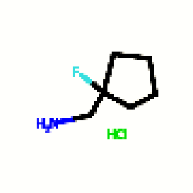 Cl.NCC1(F)CCCC1